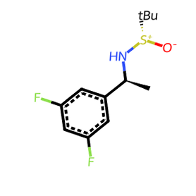 C[C@H](N[S@@+]([O-])C(C)(C)C)c1cc(F)cc(F)c1